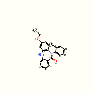 CCOc1ccc2c(c1)Nc1ccccc1C(=O)N2c1ccccc1C